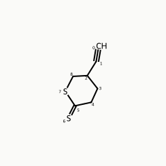 C#CC1CCC(=S)SC1